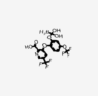 BC(O)(O)Oc1cc(OC(F)(F)F)ccc1Oc1cc(C(F)(F)F)cnc1C(=O)O